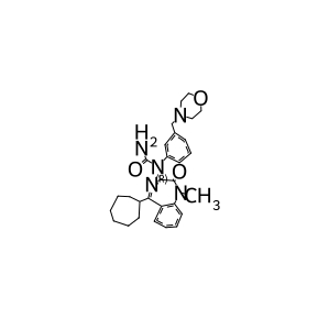 CN1C(=O)[C@@H](N(C(N)=O)c2cccc(CN3CCOCC3)c2)N=C(C2CCCCCC2)c2ccccc21